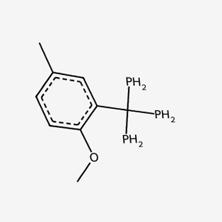 COc1ccc(C)cc1C(P)(P)P